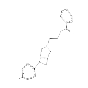 O=C(CCCN1CC2CC(c3ccc(F)cc3)C2C1)c1ccccc1